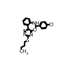 CCCCSc1nnc2c(n1)OC(c1ccc(Cl)cc1)Nc1ccccc1-2